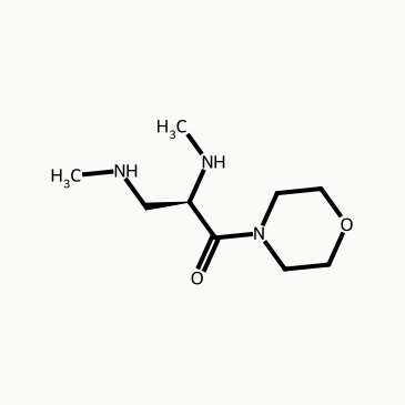 CNC[C@@H](NC)C(=O)N1CCOCC1